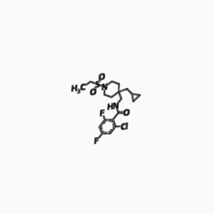 CCS(=O)(=O)N1CCC(CNC(=O)c2c(F)cc(F)cc2Cl)(CC2CC2)CC1